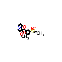 C=CC[S+]([O-])c1cccc(C(=O)C2(C(=O)OC)CCn3cccc32)c1